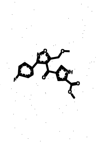 COCc1onc(-c2ccc(F)cc2)c1C(=O)c1c[nH]c(C(=O)OC)c1